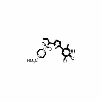 C=CC(c1ccc(-c2cc(CC)c(=O)[nH]c2C)s1)S(=O)(=O)N1CCN(C(=O)O)CC1